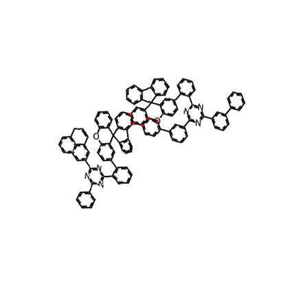 C1=Cc2cc(-c3nc(-c4ccccc4)nc(-c4ccccc4-c4ccc5c(c4)C4(c6ccccc6O5)c5ccccc5-c5c(-c6ccc(-c7cccc(-c8nc(-c9cccc(-c%10ccccc%10)c9)nc(-c9ccccc9-c9ccc%10c(c9)C9(c%11ccccc%11O%10)c%10ccccc%10-c%10ccccc%109)n8)c7)cc6)cccc54)n3)cc3cccc(c23)C1